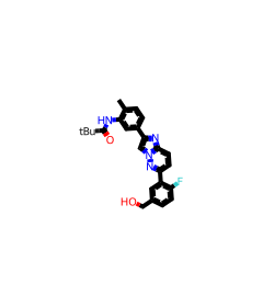 Cc1ccc(-c2cn3nc(-c4cc(CO)ccc4F)ccc3n2)cc1NC(=O)C(C)(C)C